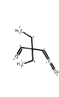 C=C=CC(C=O)(CC)CC